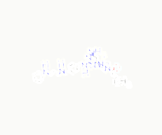 CCCC(=O)N1CCN(c2cc(N)nc(NCc3ccc(CNCCCNC4CCCCC4)cc3)n2)CC1